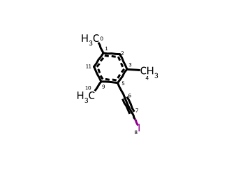 Cc1cc(C)c(C#CI)c(C)c1